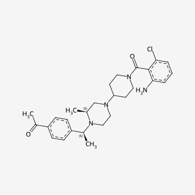 CC(=O)c1ccc([C@H](C)N2CCN(C3CCN(C(=O)c4c(N)cccc4Cl)CC3)C[C@@H]2C)cc1